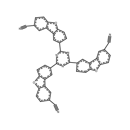 N#Cc1ccc2oc3ccc(-c4nc(-c5ccc6oc7ccc(C#N)cc7c6c5)nc(-c5ccc6oc7ccc(C#N)cc7c6c5)n4)cc3c2c1